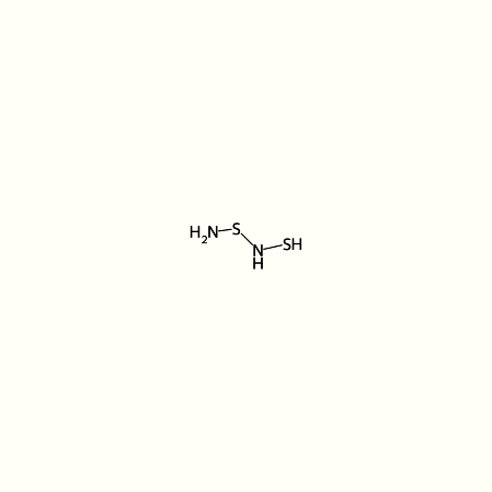 NSNS